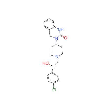 O=C1Nc2ccccc2CN1C1CCN(CC(O)c2ccc(Cl)cc2)CC1